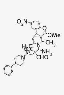 COC(=O)C1=C(C)N(C(N)C(C)(C=O)CC(=O)N2CCC(c3ccccc3)CC2)C(C)=CC1c1cccc([N+](=O)[O-])c1